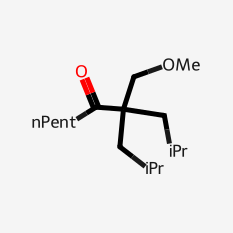 CCCCCC(=O)C(COC)(CC(C)C)CC(C)C